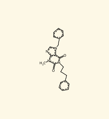 Cn1c(=O)n(CCCc2ccccc2)c(=O)c2c1ncn2Cc1ccccc1